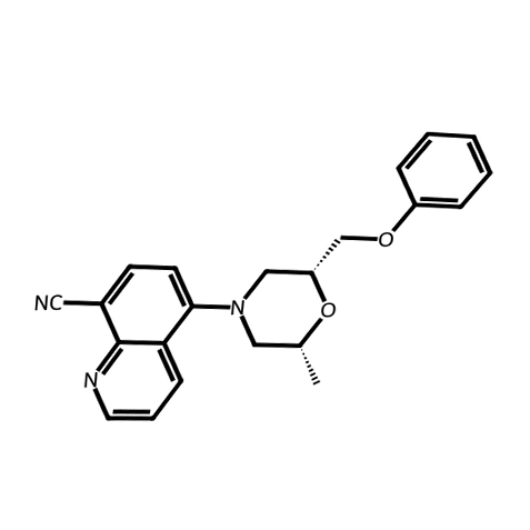 C[C@@H]1CN(c2ccc(C#N)c3ncccc23)C[C@H](COc2ccccc2)O1